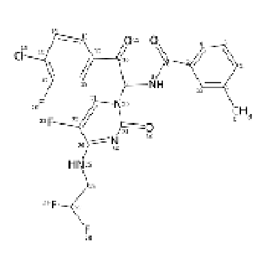 Cc1cccc(C(=O)NC(C(=O)c2ccc(Cl)c(F)c2)n2cc(F)c(NCC(F)F)nc2=O)c1